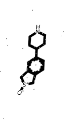 [O-][S+]1Cc2ccc(C3CCNCC3)cc2C1